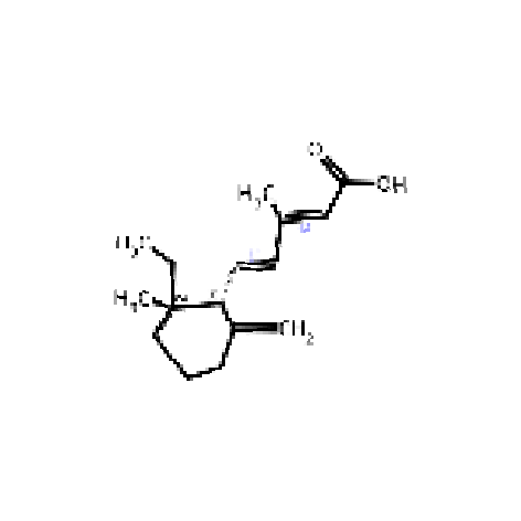 C=C1CCC[C@](C)(CC)[C@@H]1/C=C/C(C)=C/C(=O)O